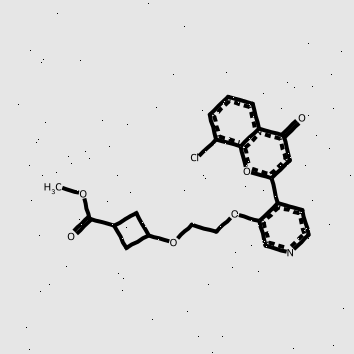 COC(=O)C1CC(OCCOc2cnccc2-c2cc(=O)c3cccc(Cl)c3o2)C1